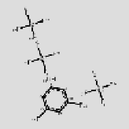 F[B-](F)(F)F.F[B-](F)(F)F.F[B-](F)(F)F.Fc1cccc(F)c1.[LiH]